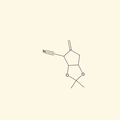 C=C1CC2OC(C)(C)OC2C1C#N